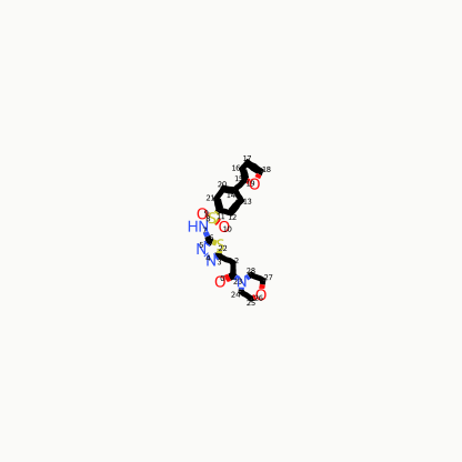 O=C(Cc1nnc(NS(=O)(=O)c2ccc(-c3ccco3)cc2)s1)N1CCOCC1